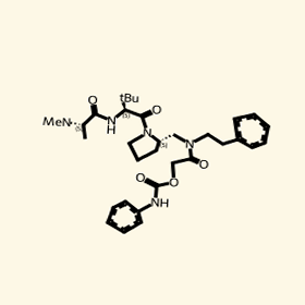 CN[C@@H](C)C(=O)N[C@H](C(=O)N1CCC[C@H]1CN(CCc1ccccc1)C(=O)COC(=O)Nc1ccccc1)C(C)(C)C